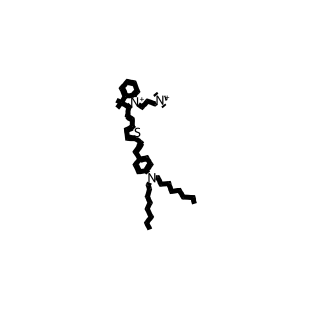 CCCCCCCCN(CCCCCCCC)c1ccc(/C=C/c2ccc(/C=C/C3=[N+](CCC[N+](C)(C)C)c4ccccc4C3(C)C)s2)cc1